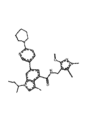 CCC(C)n1cc(C)c2c(C(=O)NCc3c(OC)nn(C)c3C)cc(-c3ccc(N4CCCCC4)nc3)cc21